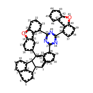 C1=CC2c3cccc4cccc(c34)C2C(c2ccc3oc4cccc(-c5nc(-c6ccccc6)nc(-c6cccc7oc8ccccc8c67)n5)c4c3c2)=C1